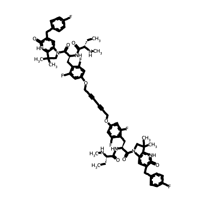 CC[C@H](NC)C(=O)N[C@@H](Cc1c(F)cc(OCC#CC#CCOc2cc(F)c(C[C@H](NC(=O)[C@H](CC)NC)C(=O)N3CC(C)(C)c4[nH]c(=O)c(Cc5ccc(F)cc5)cc43)c(F)c2)cc1F)C(=O)N1CC(C)(C)c2[nH]c(=O)c(Cc3ccc(F)cc3)cc21